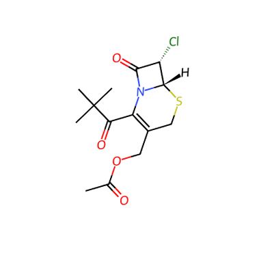 CC(=O)OCC1=C(C(=O)C(C)(C)C)N2C(=O)[C@H](Cl)[C@@H]2SC1